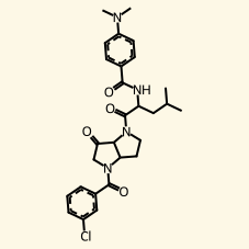 CC(C)CC(NC(=O)c1ccc(N(C)C)cc1)C(=O)N1CCC2C1C(=O)CN2C(=O)c1cccc(Cl)c1